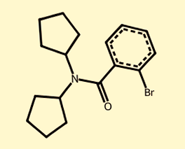 O=C(c1ccccc1Br)N(C1CCCC1)C1CCCC1